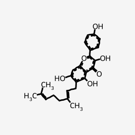 CC(C)=CCC/C(C)=C/Cc1c(O)cc2oc(-c3ccc(O)cc3)c(O)c(=O)c2c1O